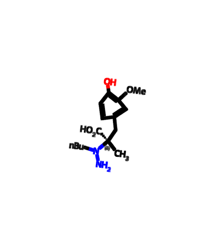 CCCCN(N)[C@](C)(Cc1ccc(O)c(OC)c1)C(=O)O